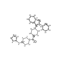 O=C(C1CCN(Cc2ccsc2)CC1)N1CCC(n2c(-c3ccccn3)nc3ccccc32)CC1